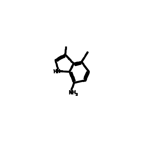 Cc1ccc(N)c2[nH]cc(C)c12